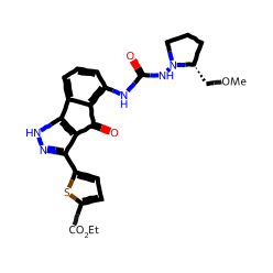 CCOC(=O)c1ccc(-c2n[nH]c3c2C(=O)c2c(NC(=O)NN4CCC[C@@H]4COC)cccc2-3)s1